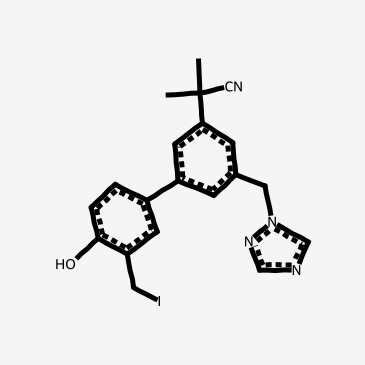 CC(C)(C#N)c1cc(Cn2cncn2)cc(-c2ccc(O)c(CI)c2)c1